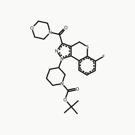 CC(C)(C)OC(=O)N1CCCC(n2nc(C(=O)N3CCOCC3)c3c2-c2cccc(F)c2SC3)C1